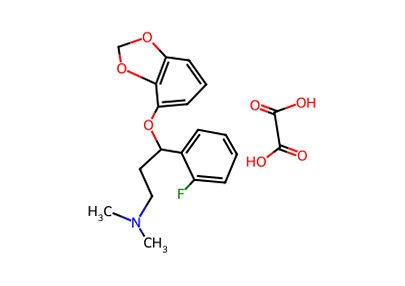 CN(C)CCC(Oc1cccc2c1OCO2)c1ccccc1F.O=C(O)C(=O)O